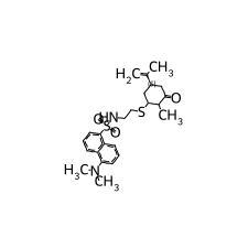 C=C(C)[C@H]1CC(=O)C(C)C(SCCNS(=O)(=O)c2cccc3c(N(C)C)cccc23)C1